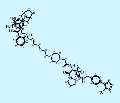 Cc1ncsc1-c1ccc(CNC(=O)[C@@H]2CCCN2C(=O)[C@@H](NC(=O)CN2CCN(CCOCCOCCCc3cc(N4C5CCC4CN(/C(=C/C(=N)c4ccccc4O)C(=N)N)C5)ccn3)CC2)C(C)(C)C)cc1